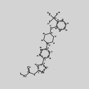 COC(=O)Cc1nnc(-c2ccc(N3CCC(Oc4ccccc4C(F)(F)F)CC3)nn2)o1